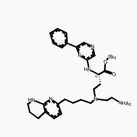 CC(=O)NCCN(CCCCc1ccc2c(n1)NCCC2)CC[C@H](Nc1cncc(-c2ccccc2)n1)C(=O)OC(C)(C)C